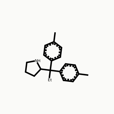 CCC(c1ccc(C)cc1)(c1ccc(C)cc1)C1CCCN1